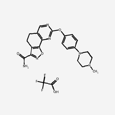 CN1CCN(c2ccc(Oc3ncc4c(n3)-c3onc(C(N)=O)c3CC4)cc2)CC1.O=C(O)C(F)(F)F